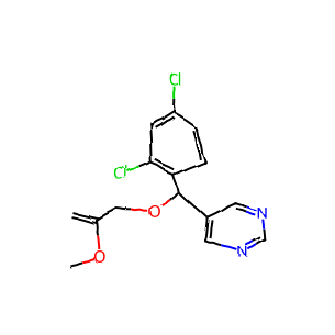 C=C(COC(c1cncnc1)c1ccc(Cl)cc1Cl)OC